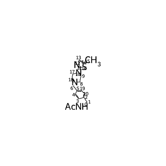 CC(=O)NCc1ccc(CN2CCN(c3ncc(C)s3)CC2)cc1